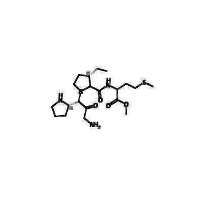 CC[C@H]1CCN(C(C(=O)CN)[C@@H]2CCCN2)C1C(=O)NC(CCSC)C(=O)OC